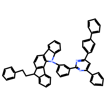 c1ccc(CCC2c3ccccc3-c3c2ccc2c4ccccc4n(-c4cccc(-c5nc(-c6ccccc6)cc(-c6ccc(-c7ccccc7)cc6)n5)c4)c32)cc1